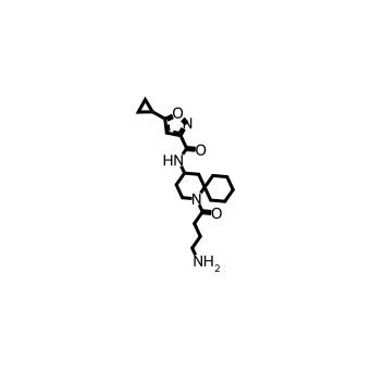 NCCCC(=O)N1CCC(NC(=O)c2cc(C3CC3)on2)CC12CCCCC2